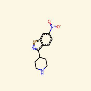 O=[N+]([O-])c1ccc2c(C3CCNCC3)nsc2c1